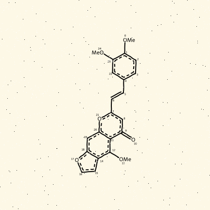 COc1ccc(C=Cc2cc(=O)c3c(OC)c4ccoc4cc3o2)cc1OC